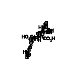 O=C(O)CCC(NC(=O)CC[C@H](NC(=O)COCCOCCNC(=O)CBr)C(=O)O)C(=O)N(CCNC(=O)CCl)CCNC(=O)CCl